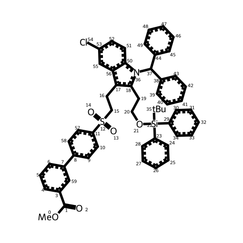 COC(=O)c1cccc(-c2ccc(S(=O)(=O)CCc3c(CCO[Si](c4ccccc4)(c4ccccc4)C(C)(C)C)n(C(c4ccccc4)c4ccccc4)c4ccc(Cl)cc34)cc2)c1